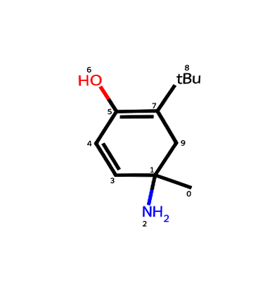 CC1(N)C=CC(O)=C(C(C)(C)C)C1